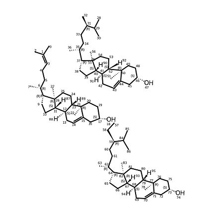 CC(C)=CCC[C@@H](C)[C@H]1CC[C@H]2[C@@H]3CC=C4C[C@@H](O)CC[C@]4(C)[C@H]3CC[C@]12C.CC(C)[C@H](C)CC[C@@H](C)[C@H]1CC[C@H]2[C@@H]3CC=C4C[C@@H](O)CC[C@]4(C)[C@H]3CC[C@]12C.CC[C@H](CC[C@@H](C)[C@H]1CC[C@H]2[C@@H]3CC=C4C[C@@H](O)CC[C@]4(C)[C@H]3CC[C@]12C)C(C)C